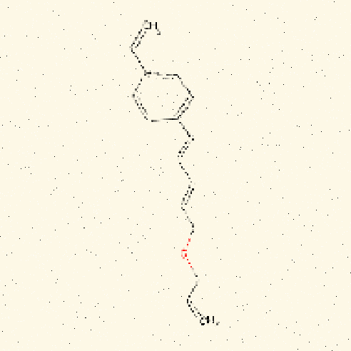 C=CCOC/C=C/C=C/c1ccc(C=C)cc1